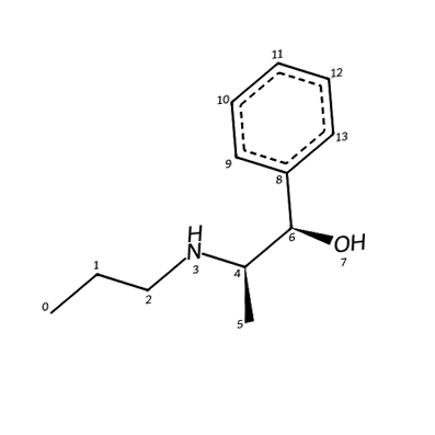 CCCN[C@H](C)[C@H](O)c1ccccc1